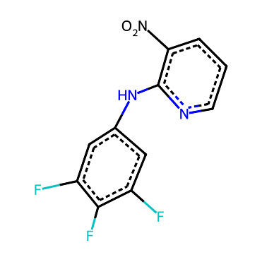 O=[N+]([O-])c1cccnc1Nc1cc(F)c(F)c(F)c1